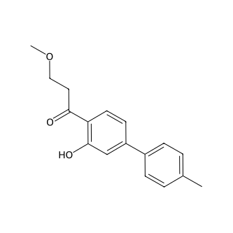 COCCC(=O)c1ccc(-c2ccc(C)cc2)cc1O